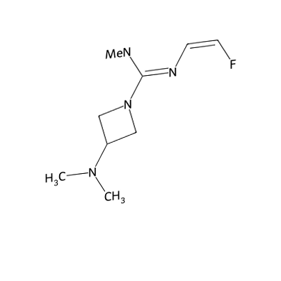 CN/C(=N\C=C/F)N1CC(N(C)C)C1